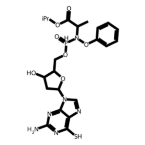 CC(C)OC(=O)C(C)N(Oc1ccccc1)[PH](=O)OCC1OC(n2cnc3c(S)nc(N)nc32)CC1O